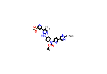 COc1ncc(-c2ccc(N(C(=O)OC3CC3)[C@H]3CC[C@H](Nc4ncc(C(F)(F)F)c(-c5cncc(S(C)(=O)=O)c5)n4)CC3)nc2)cn1